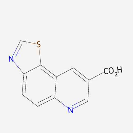 O=C(O)c1cnc2ccc3ncsc3c2c1